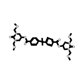 COCN1CC(OC(=O)c2ccc(C(C)(C)c3ccc(C(=O)OC4CN(COC)C(=O)N(COC)C4)cc3)cc2)CN(COC)C1=O